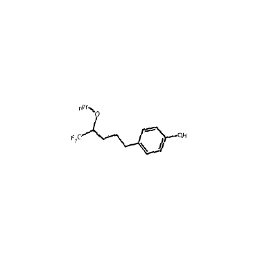 CCCOC(CCCc1ccc(O)cc1)C(F)(F)F